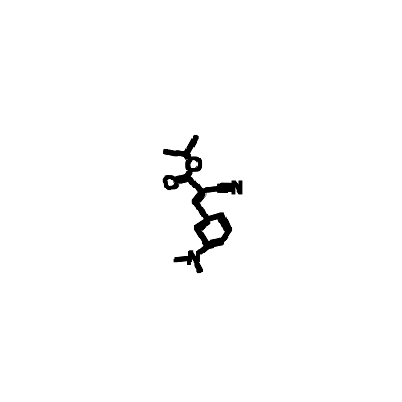 CC(C)OC(=O)/C(C#N)=C/c1cccc(N(C)C)c1